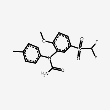 COc1ccc(S(=O)(=O)C(F)F)cc1N(C(N)=O)c1ccc(C)cc1